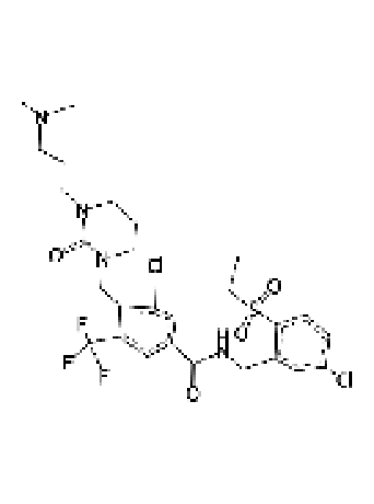 CCS(=O)(=O)c1ccc(Cl)cc1CNC(=O)c1cc(Cl)c(CN2CCCN(CCCN(C)C)C2=O)c(C(F)(F)F)c1